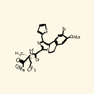 COC(=O)[C@](C)(CC(F)(F)F)NC(=O)c1nc(-c2cccs2)c2n1CCc1cc(OC)c(Br)cc1-2